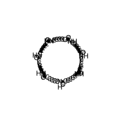 O=C1CCCCCNC(=O)CCCCCNC(=O)CCCCCNC(=O)CCCCCNC(=O)CCCCCNC(=O)CCCCCNC(=O)CCCCCN1